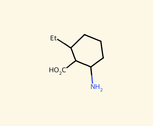 CCC1CCCC(N)C1C(=O)O